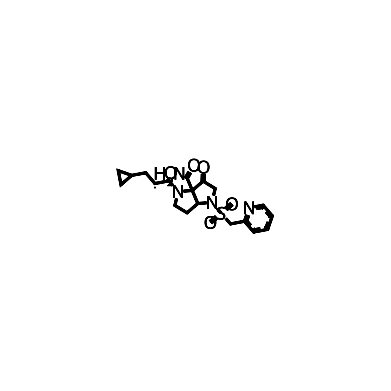 NC(=O)C12C(=O)CN(S(=O)(=O)Cc3ccccn3)C1CCN2C(=O)[CH]CC1CC1